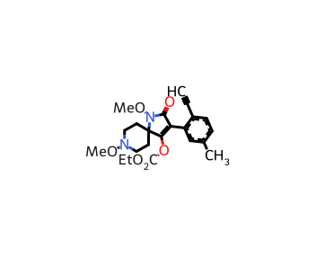 C#Cc1ccc(C)cc1C1=C(OC(=O)OCC)C2(CCN(OC)CC2)N(OC)C1=O